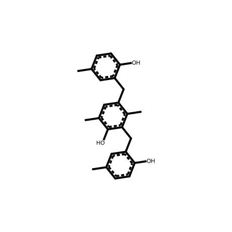 Cc1ccc(O)c(Cc2cc(C)c(O)c(Cc3cc(C)ccc3O)c2C)c1